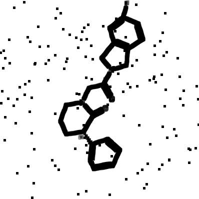 O=C(CN1CCC[C@@H](c2ccccc2)C1=O)N1Cc2ccc(F)cc2C1